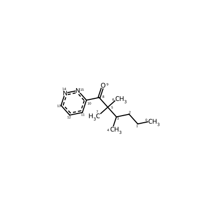 CCCC(C)C(C)(C)C(=O)c1cccnn1